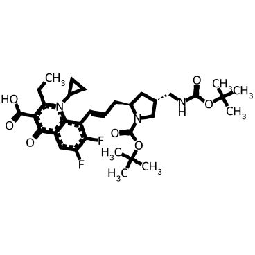 CCc1c(C(=O)O)c(=O)c2cc(F)c(F)c(C=CC[C@H]3C[C@H](CNC(=O)OC(C)(C)C)CN3C(=O)OC(C)(C)C)c2n1C1CC1